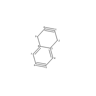 C1#CCc2cc#ccc2C1